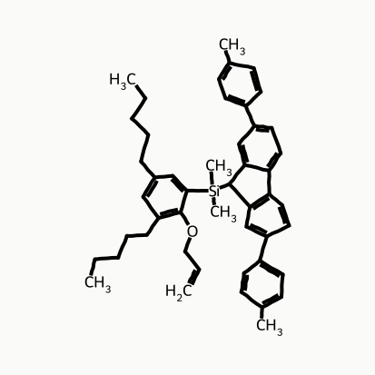 C=CCOc1c(CCCCC)cc(CCCCC)cc1[Si](C)(C)C1c2cc(-c3ccc(C)cc3)ccc2-c2ccc(-c3ccc(C)cc3)cc21